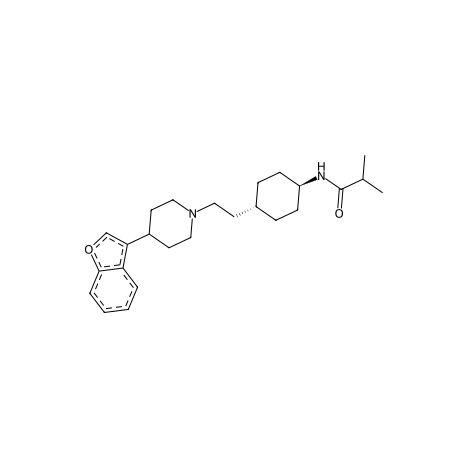 CC(C)C(=O)N[C@H]1CC[C@H](CCN2CCC(c3coc4ccccc34)CC2)CC1